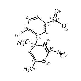 CC1=C[C@@](C)(c2cc([N+](=O)[O-])ccc2F)N=C(N)S1